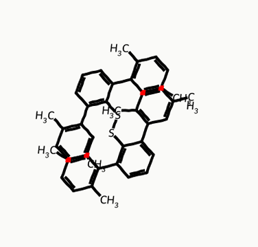 Cc1ccc(C)c(-c2cccc(-c3cc(C)ccc3C)c2SSc2c(-c3cc(C)ccc3C)cccc2-c2cc(C)ccc2C)c1